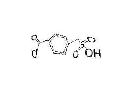 O=C(Cl)c1ccc(CS(=O)(=O)O)cc1